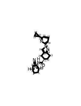 N#CN1[C@H]2CC[C@@H]1[C@H](NC(=O)[C@@H]1CCc3nn(-c4cccc(C5CC5)n4)cc3C1)C2